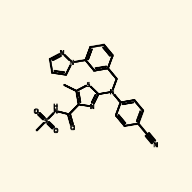 Cc1sc(N(Cc2cccc(-n3cccn3)c2)c2ccc(C#N)cc2)nc1C(=O)NS(C)(=O)=O